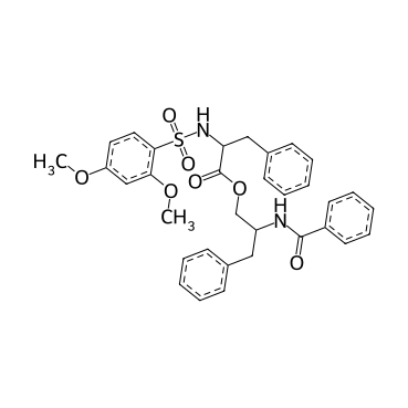 COc1ccc(S(=O)(=O)NC(Cc2ccccc2)C(=O)OCC(Cc2ccccc2)NC(=O)c2ccccc2)c(OC)c1